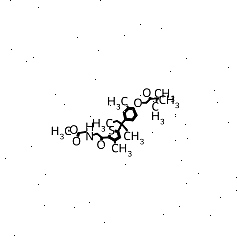 CCC(CC)(c1ccc(OCC(=O)C(C)(C)C)c(C)c1)c1cc(C)c(C(=O)CNCC(=O)OC)s1